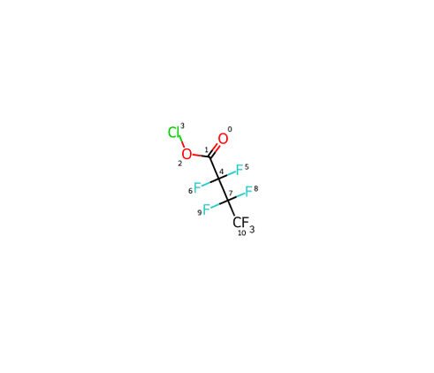 O=C(OCl)C(F)(F)C(F)(F)C(F)(F)F